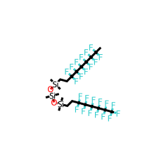 CC(F)(F)C(F)(F)C(F)(F)C(F)(F)C(F)(F)C(F)(F)CC[Si](C)(C)O[Si](C)(C)O[Si](C)(C)CCC(F)(F)C(F)(F)C(F)(F)C(F)(F)C(F)(F)C(F)(F)F